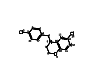 Clc1ccc(CN2CCOc3cnc(Cl)nc32)cc1